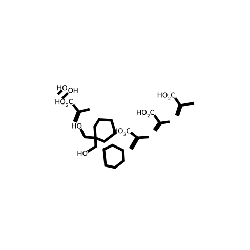 C1CCCCC1.C=C(C)C(=O)O.C=C(C)C(=O)O.C=C(C)C(=O)O.C=C(C)C(=O)O.CO.CO.OCC1(CO)CCCCC1